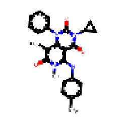 Bc1ccc(Nc2c3c(=O)n(C4CC4)c(=O)n(-c4ccccc4)c3c(C)c(=O)n2C)cc1